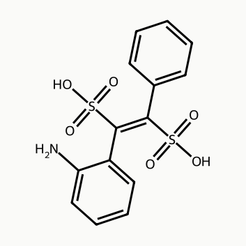 Nc1ccccc1C(=C(c1ccccc1)S(=O)(=O)O)S(=O)(=O)O